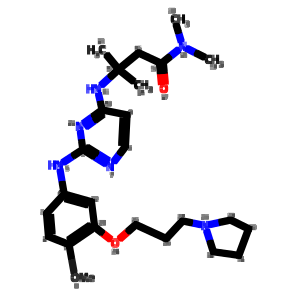 COc1ccc(Nc2nccc(NC(C)(C)CC(=O)N(C)C)n2)cc1OCCCN1CCCC1